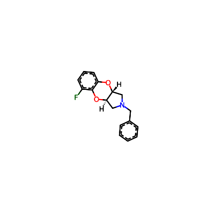 Fc1cccc2c1O[C@@H]1CN(Cc3ccccc3)C[C@H]1O2